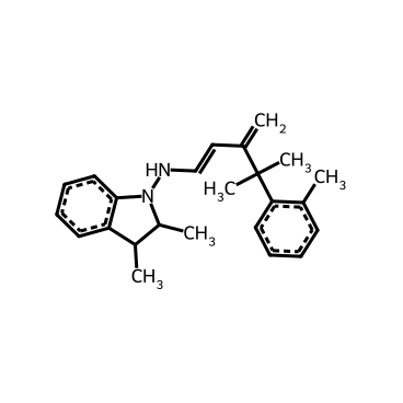 C=C(C=CNN1c2ccccc2C(C)C1C)C(C)(C)c1ccccc1C